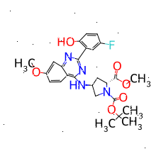 COC(=O)[C@H]1C[C@H](Nc2nc(-c3cc(F)ccc3O)nc3cc(OC)ccc23)CN1C(=O)OC(C)(C)C